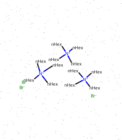 CCCCCC[N+](CCCCCC)(CCCCCC)CCCCCC.CCCCCC[N+](CCCCCC)(CCCCCC)CCCCCC.CCCCCC[N+](CCCCCC)(CCCCCC)CCCCCC.[Br-].[Br-].[Br-]